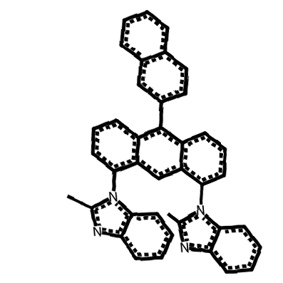 Cc1nc2ccccc2n1-c1cccc2c(-c3ccc4ccccc4c3)c3cccc(-n4c(C)nc5ccccc54)c3cc12